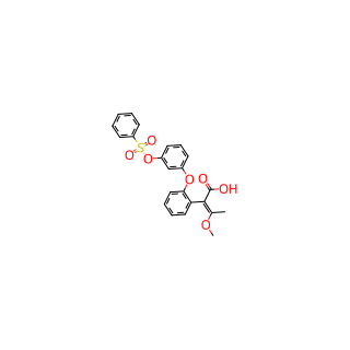 COC(C)=C(C(=O)O)c1ccccc1Oc1cccc(OS(=O)(=O)c2ccccc2)c1